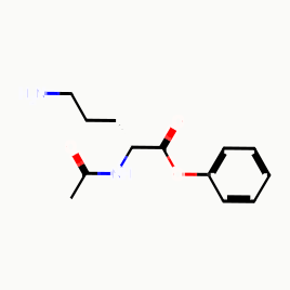 CC(=O)N[C@H](CCCN)C(=O)Oc1ccccc1